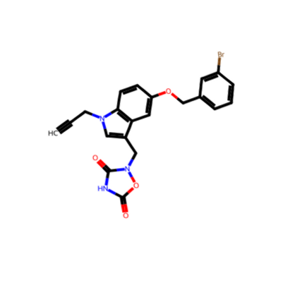 C#CCn1cc(Cn2oc(=O)[nH]c2=O)c2cc(OCc3cccc(Br)c3)ccc21